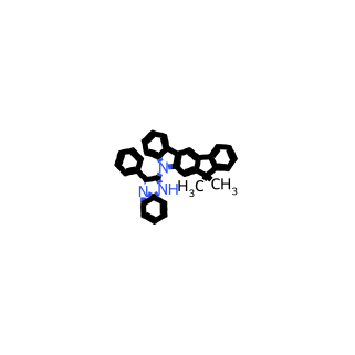 CC1(C)c2ccccc2-c2cc3c4ccccc4n(C4NC56C=CC=CC5[N@]6C4c4ccccc4)c3cc21